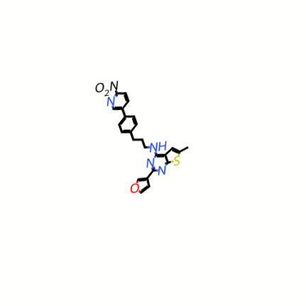 Cc1cc2c(NCCCc3ccc(-c4ccc([N+](=O)[O-])nc4)cc3)nc(-c3ccoc3)nc2s1